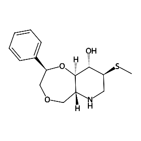 CS[C@H]1CN[C@@H]2COC[C@@H](c3ccccc3)O[C@H]2[C@@H]1O